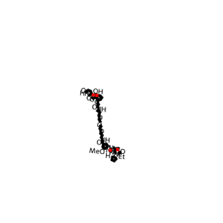 CC[C@@H]1C(=O)N(C)c2cnc(Nc3ccc(C(=O)NCCCOCCOCCOCCCNC(=O)COc4cccc5c4C(=O)N(C4CCC(=O)NC4=O)C5O)cc3OC)nc2N1C1CCCC1